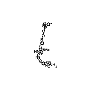 COC(=O)C(COCc1cccc(OCCOCCOCCOS(=O)(=O)c2ccc(C)cc2)c1)NC(=O)Cn1cc(COc2ccc3nc(S(N)(=O)=O)sc3c2)nn1